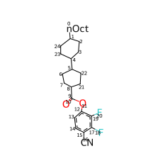 CCCCCCCCC1CCC(C2CCC(C(=O)Oc3ccc(C#N)c(F)c3F)CC2)CC1